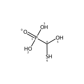 O=P(O)(O)C(O)S